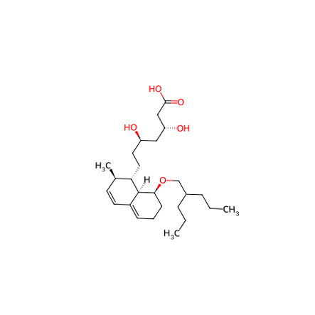 CCCC(CCC)CO[C@H]1CCC=C2C=C[C@@H](C)[C@H](CC[C@@H](O)C[C@@H](O)CC(=O)O)[C@H]21